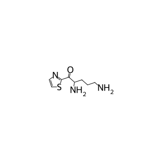 NCCCC(N)C(=O)c1nccs1